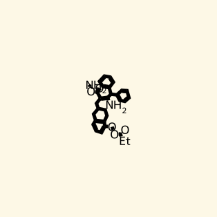 CCC(=O)OOc1cccc2c1CCC(CC(C(=O)ON)=C(N)C(c1ccccc1)c1ccccc1)C2